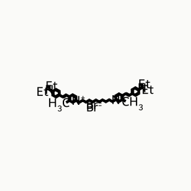 CCN(CC)c1ccc(/C=C/c2cc[n+](CCCCCCCCCCC[n+]3ccc(/C=C/c4ccc(N(CC)CC)cc4)c(C)c3)cc2C)cc1.[Br-].[Br-]